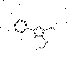 Nc1cc(-c2ccccc2)[se]c1N[C]=O